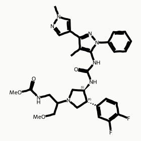 COCC(CNC(=O)OC)N1C[C@@H](NC(=O)Nc2c(C)c(-c3cnn(C)c3)nn2-c2ccccc2)[C@H](c2ccc(F)c(F)c2)C1